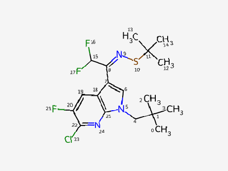 CC(C)(C)Cn1cc(/C(=N\SC(C)(C)C)C(F)F)c2cc(F)c(Cl)nc21